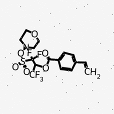 C=Cc1ccc(C(=O)OC(C(F)(F)F)C(F)(F)S(=O)(=O)ON2CCOCC2)cc1